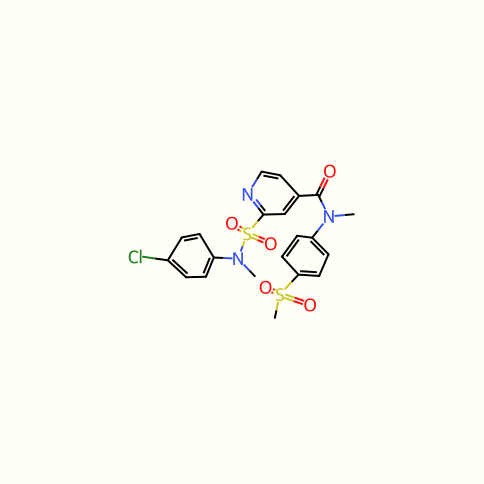 CN(C(=O)c1ccnc(S(=O)(=O)N(C)c2ccc(Cl)cc2)c1)c1ccc(S(C)(=O)=O)cc1